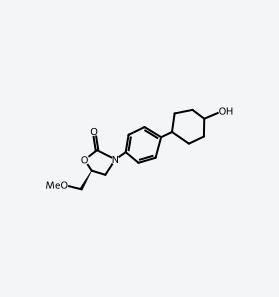 COC[C@@H]1CN(c2ccc(C3CCC(O)CC3)cc2)C(=O)O1